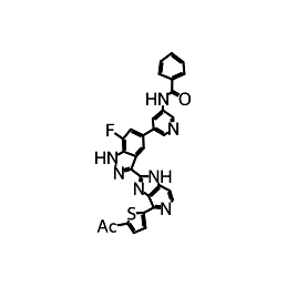 CC(=O)c1ccc(-c2nccc3[nH]c(-c4n[nH]c5c(F)cc(-c6cncc(NC(=O)c7ccccc7)c6)cc45)nc23)s1